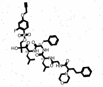 C#CCOc1ccc(S(=O)(=O)OCC(C)(O)C(=O)[C@H](CC(C)C)NC(=O)[C@H](Cc2ccccc2)NC(=O)[C@H](CC(C)C)NC(=O)CNC(=O)C(CCc2ccccc2)N2CCOCC2)c(F)c1